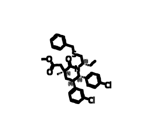 CC[C@@H](CSCc1ccccc1)N1C(=O)[C@](C)(CC(=O)OC)C[C@H](c2cccc(Cl)c2)[C@H]1c1ccc(Cl)cc1